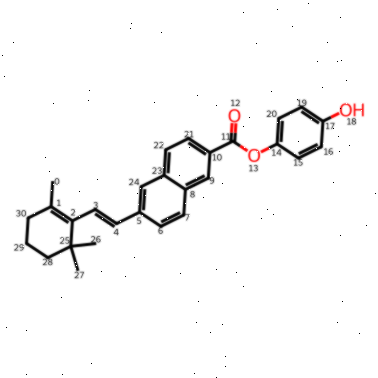 CC1=C(C=Cc2ccc3cc(C(=O)Oc4ccc(O)cc4)ccc3c2)C(C)(C)CCC1